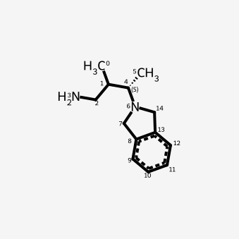 CC(CN)[C@H](C)N1Cc2ccccc2C1